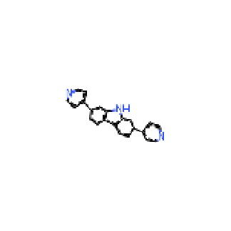 c1cc(-c2ccc3c(c2)[nH]c2cc(-c4ccncc4)ccc23)ccn1